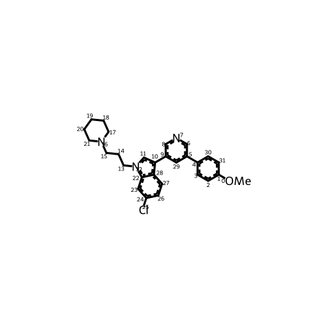 COc1ccc(-c2cncc(-c3cn(CCCN4CCCCC4)c4cc(Cl)ccc34)c2)cc1